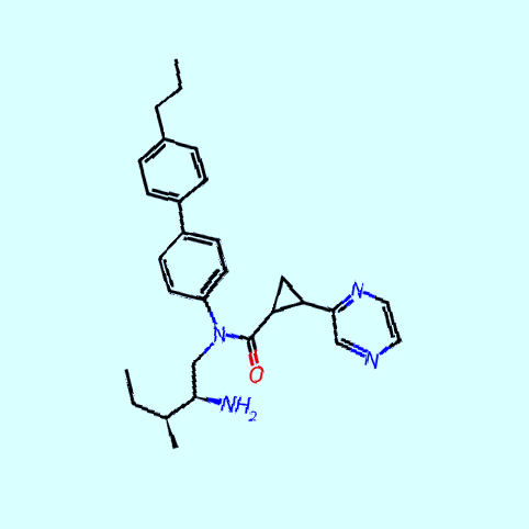 CCCc1ccc(-c2ccc(N(C[C@@H](N)[C@@H](C)CC)C(=O)C3CC3c3cnccn3)cc2)cc1